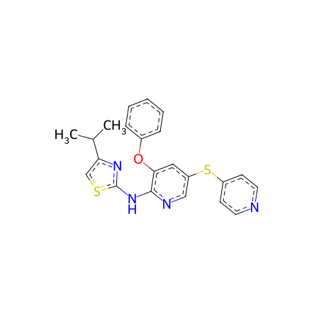 CC(C)c1csc(Nc2ncc(Sc3ccncc3)cc2Oc2ccccc2)n1